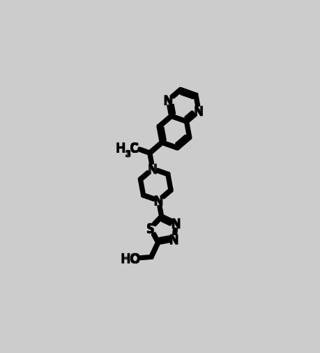 CC(c1ccc2nccnc2c1)N1CCN(c2nnc(CO)s2)CC1